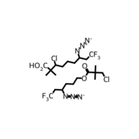 CC(C)(C(=O)O)C(Cl)CCCC(CC(F)(F)F)N=[N+]=[N-].CC(C)(CCl)C(=O)OCCCC(CC(F)(F)F)N=[N+]=[N-]